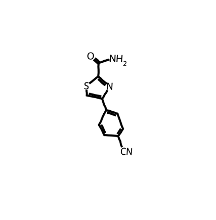 N#Cc1ccc(-c2csc(C(N)=O)n2)cc1